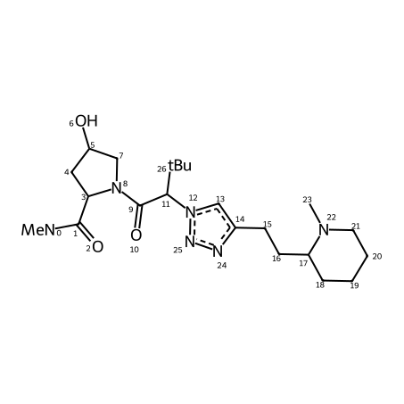 CNC(=O)C1CC(O)CN1C(=O)C(n1cc(CCC2CCCCN2C)nn1)C(C)(C)C